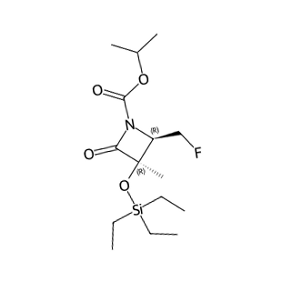 CC[Si](CC)(CC)O[C@@]1(C)C(=O)N(C(=O)OC(C)C)[C@H]1CF